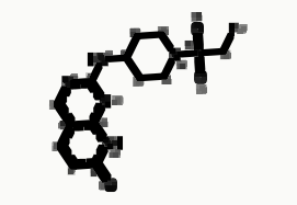 O=c1ccc2cnc(NC3CCN(S(=O)(=O)CF)CC3)nc2[nH]1